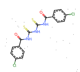 O=C(NC(=S)NC(=S)NC(=O)c1ccc(Cl)cc1)c1ccc(Cl)cc1